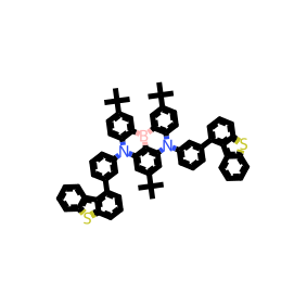 CC(C)(C)c1ccc2c(c1)B1c3cc(C(C)(C)C)ccc3N(c3cccc(-c4cccc5sc6ccccc6c45)c3)c3cc(C(C)(C)C)cc(c31)N2c1cccc(-c2cccc3sc4ccccc4c23)c1